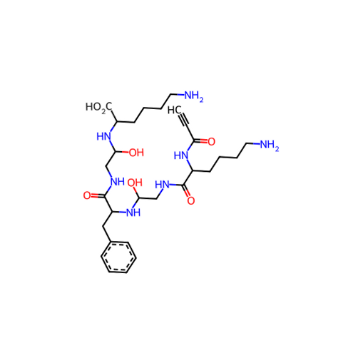 C#CC(=O)NC(CCCCN)C(=O)NCC(O)NC(Cc1ccccc1)C(=O)NCC(O)NC(CCCCN)C(=O)O